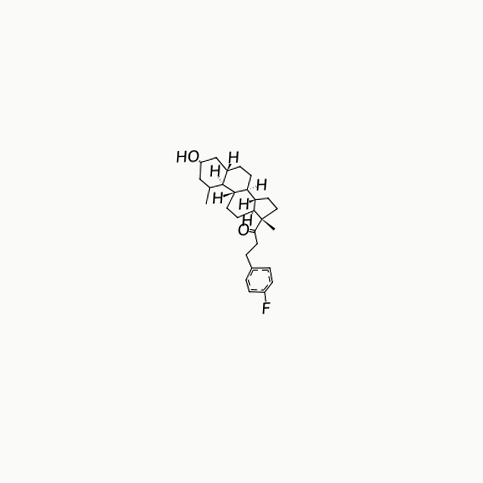 CC1C[C@H](O)C[C@@H]2CC[C@@H]3[C@H](CC[C@H]4[C@H]3CC[C@]4(C)C(=O)CCc3ccc(F)cc3)[C@@H]12